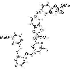 COc1cccc(CCc2ccccc2OC[C@H](CN(C)C)OCOP(=S)(OC)Oc2ccc(Sc3ccc(OP(=S)(OC)OC)cc3)cc2)c1